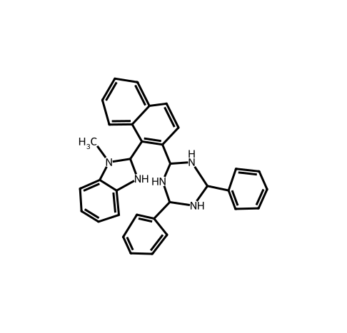 CN1c2ccccc2NC1c1c(C2NC(c3ccccc3)NC(c3ccccc3)N2)ccc2ccccc12